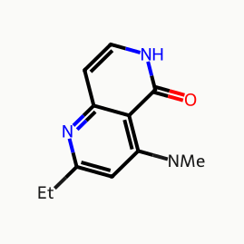 CCc1cc(NC)c2c(=O)[nH]ccc2n1